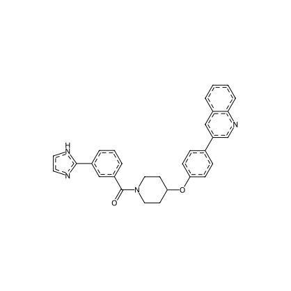 O=C(c1cccc(-c2ncc[nH]2)c1)N1CCC(Oc2ccc(-c3cnc4ccccc4c3)cc2)CC1